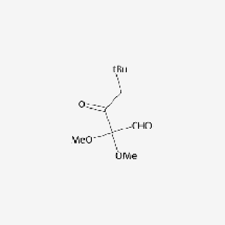 COC([C]=O)(OC)C(=O)CC(C)(C)C